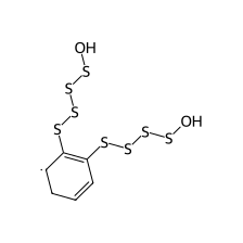 OSSSSC1=C(SSSSO)C=CC[CH]1